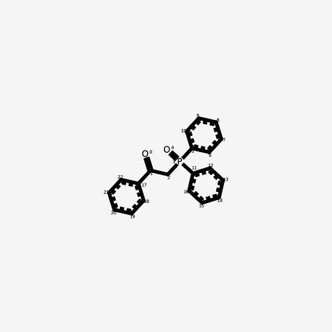 O=C(CP(=O)(c1ccccc1)c1ccccc1)c1ccccc1